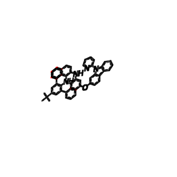 CC(C)(C)c1cc(-c2ccccc2)c(Nc2c(Nc3cccc(Oc4ccc5c6ccccc6n(-c6ccccn6)c5c4)c3)ccc3ccccc23)c(-c2ccccc2)c1